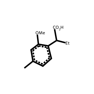 CCC(C(=O)O)c1ccc(C)cc1OC